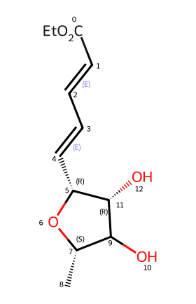 CCOC(=O)/C=C/C=C/[C@H]1O[C@@H](C)C(O)[C@H]1O